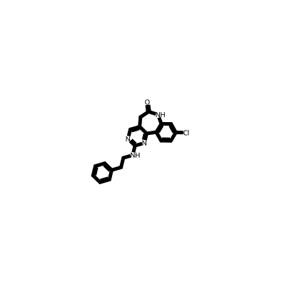 O=C1Cc2cnc(NCCc3ccccc3)nc2-c2ccc(Cl)cc2N1